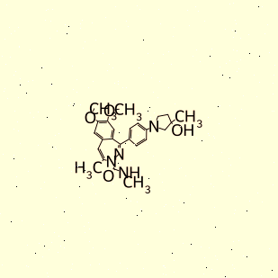 CNC(=O)N1N=C(c2ccc(N3CCC(C)(O)C3)cc2)c2cc(OC)c(OC)cc2C=C1C